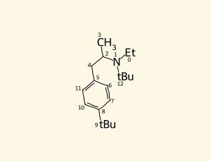 CCN(C(C)Cc1ccc(C(C)(C)C)cc1)C(C)(C)C